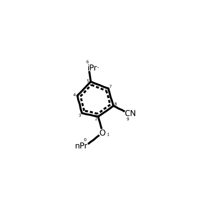 CCCOc1ccc([C](C)C)cc1C#N